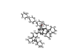 c1ccc(-c2ccc(-c3cccc(-c4nc(-c5ccc6c7ccccc7n(-c7ccccc7)c6c5)nc(-c5cccc6c7ccccc7n(-c7ccccc7)c56)n4)c3)cc2)cc1